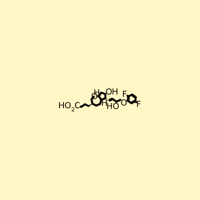 O=C(O)CCC[C@@H]1CC[C@@H]2[C@@H](/C=C/[C@@H](O)COc3cc(F)ccc3F)[C@H](O)C[C@@H]2OC1